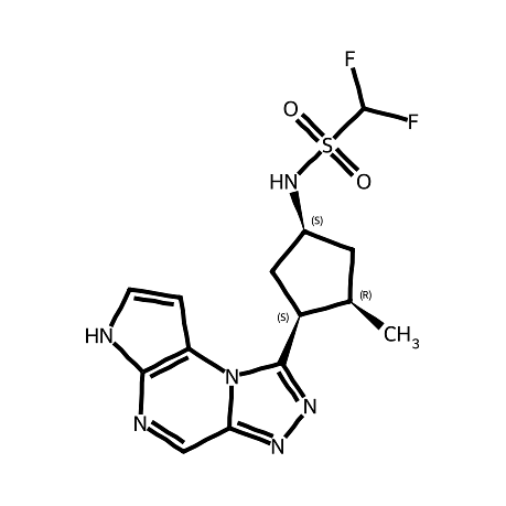 C[C@@H]1C[C@H](NS(=O)(=O)C(F)F)C[C@@H]1c1nnc2cnc3[nH]ccc3n12